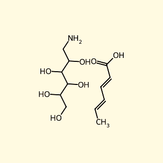 C/C=C/C=C/C(=O)O.NCC(O)C(O)C(O)C(O)CO